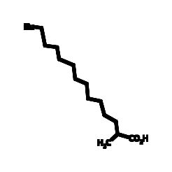 CCC(C)CCCCCCCCCCCC(C)C(=O)O